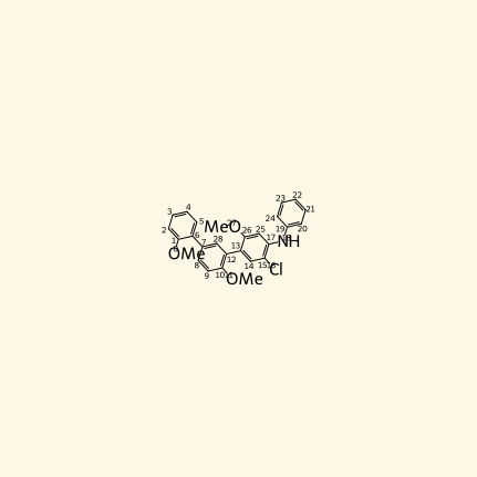 COc1ccccc1-c1ccc(OC)c(-c2cc(Cl)c(Nc3ccccc3)cc2OC)c1